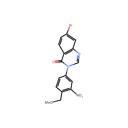 COCc1ccc(-n2cnc3cc(Br)ccc3c2=O)cc1[N+](=O)[O-]